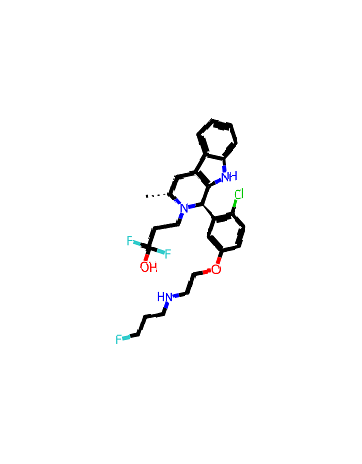 C[C@@H]1Cc2c([nH]c3ccccc23)[C@@H](c2cc(OCCNCCCF)ccc2Cl)N1CCC(O)(F)F